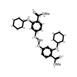 COC(=O)c1ccc(OBOc2ccc(C(=O)OC)c(OC3CCCCC3)c2)cc1OC1CCCCC1